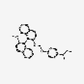 CCC(C)c1ccc(OCOc2ccc3ccccc3c2-c2c(OC)ccc3ccccc23)cc1